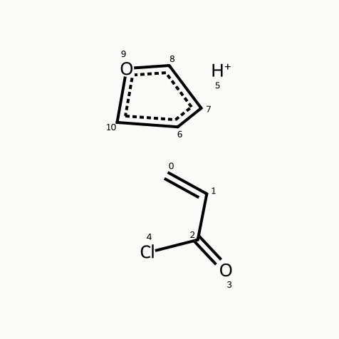 C=CC(=O)Cl.[H+].c1ccoc1